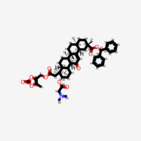 Cc1oc(=O)oc1COC(=O)C[C@@]1(C)[C@@H]2CC[C@]3(C)[C@H](C(=O)C=C4[C@@H]5C[C@@](C)(C(=O)OC(c6ccccc6)c6ccccc6)CC[C@]5(C)CC[C@]43C)[C@@]2(C)CC[C@@H]1OC(=O)CN(C)C